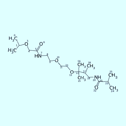 CC(C)OCC(=O)NCCOCCOC(C)(C)C(C)CNC(=O)C(C)C